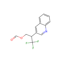 O=COCC(c1cnc2ccccc2c1)C(F)(F)F